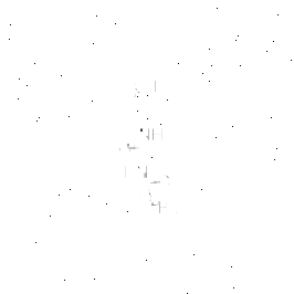 C=CCCNC(=O)CNC(=O)OC(C)(C)C